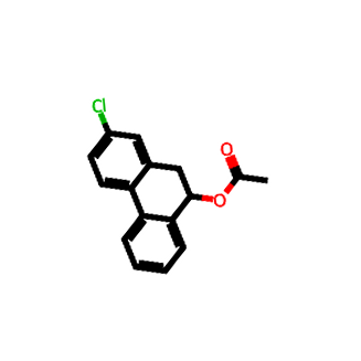 CC(=O)OC1Cc2cc(Cl)ccc2-c2ccccc21